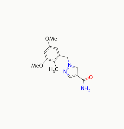 COc1cc(Cn2cc(C(N)=O)cn2)c(C)c(OC)c1